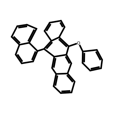 c1ccc(Oc2c3ccccc3c(-c3cccc4ccccc34)c3cc4ccccc4cc23)cc1